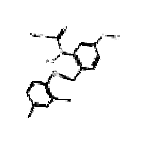 CCOc1ccc(COc2ccc(C)cc2C)c(N(O)C(=O)OC)c1